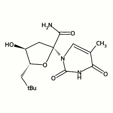 Cc1cn([C@@]2(C(N)=O)C[C@H](O)[C@@H](CC(C)(C)C)O2)c(=O)[nH]c1=O